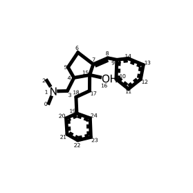 CN(C)CC1CC/C(=C/c2ccccc2)C1(O)CCc1ccccc1